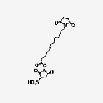 O=C(CCCCCCCCCCN1C(=O)CCC1=O)ON1C(=O)CC(S(=O)(=O)O)C1=O